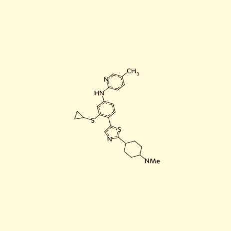 CNC1CCC(c2ncc(-c3ccc(Nc4ccc(C)cn4)cc3SC3CC3)s2)CC1